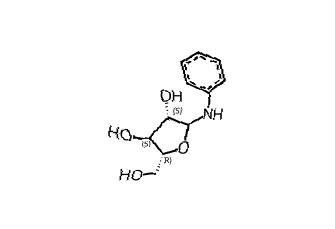 OC[C@H]1OC(Nc2ccccc2)[C@@H](O)[C@@H]1O